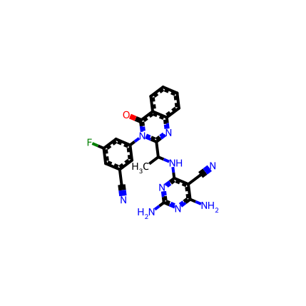 CC(Nc1nc(N)nc(N)c1C#N)c1nc2ccccc2c(=O)n1-c1cc(F)cc(C#N)c1